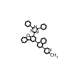 Cc1ccc(-c2ccc(-c3cc(-c4nc(-c5ccccc5)nc(-c5ccccc5)n4)c4oc5ccccc5c4c3)c3ccccc23)cn1